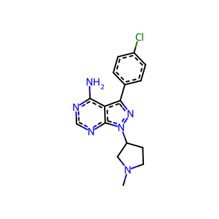 CN1CCC(n2nc(-c3ccc(Cl)cc3)c3c(N)ncnc32)C1